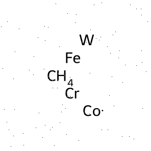 C.[Co].[Cr].[Fe].[W]